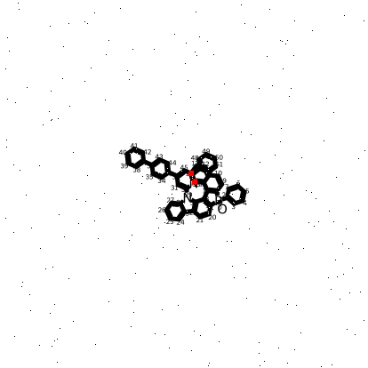 O=P1(c2ccccc2)c2ccc3ccccc3c2-c2c1ccc1c3ccccc3n(-c3cc(-c4ccc(-c5ccccc5)cc4)cc(-c4ccccc4)n3)c21